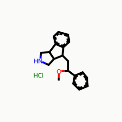 COC(CC1c2ccccc2C2CNCC21)c1ccccc1.Cl